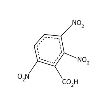 O=C(O)c1c([N+](=O)[O-])ccc([N+](=O)[O-])c1[N+](=O)[O-]